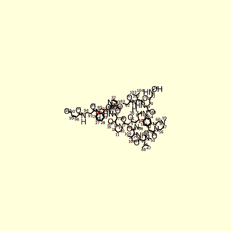 CC[C@H](C)[C@@H]([C@@H](CC(=O)N1CCC[C@H]1[C@H](OC)[C@@H](C)C(=O)N[C@@H](Cc1ccccc1)c1nccs1)OC)N(C)C(=O)[C@@H](NC(=O)[C@H](C(C)C)N(C)OC(C(=O)N1CCN(C)CC1)c1ccc(NC(=O)[C@H](CCCNO)NC(=O)[C@@H](NC(=O)CCOCCOCCNC(=O)CCNC(=O)/C=C\C=O)C(C)C)cc1)C(C)C